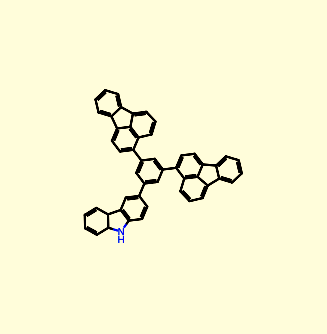 C1=CC2Nc3ccc(-c4cc(-c5ccc6c7c(cccc57)-c5ccccc5-6)cc(-c5ccc6c7c(cccc57)-c5ccccc5-6)c4)cc3C2C=C1